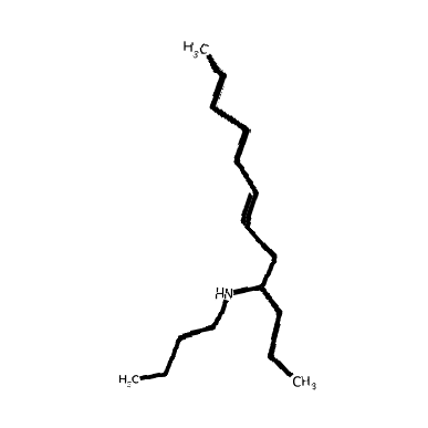 CCCCCC=CCC(CCC)NCCCC